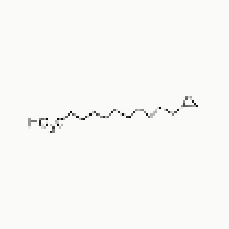 O=C(O)CCCCCCCCCCC1CC1